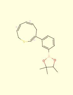 CC1OB(c2cccc(/C3=C/SC/C=C\C=C/C3)c2)OC1(C)C